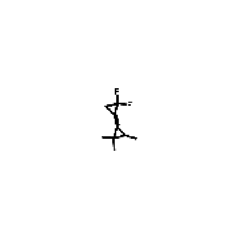 CC1C(=C2CC2(F)F)C1(C)C